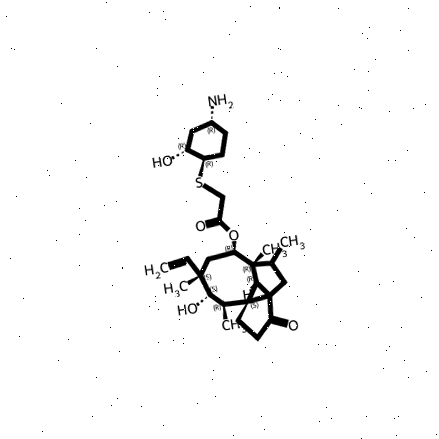 C=C[C@]1(C)C[C@@H](OC(=O)CS[C@@H]2CC[C@@H](N)C[C@H]2O)[C@]2(C)C(C)CC34C(=O)CC[C@@]3([C@@H](C)[C@@H]1O)[C@@H]42